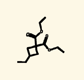 CCOC(=O)C1(C(=O)OCC)CC(CC)C1